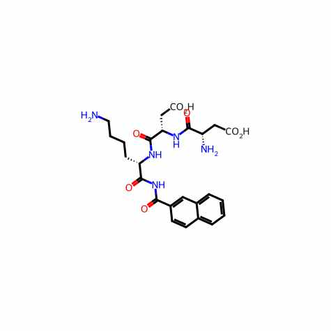 NCCCC[C@H](NC(=O)[C@H](CC(=O)O)NC(=O)[C@@H](N)CC(=O)O)C(=O)NC(=O)c1ccc2ccccc2c1